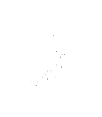 Cc1ncsc1-c1ccc([C@H](C)NC(=O)[C@@H]2C[C@@H](O)CN2C(=O)[C@H](c2cc(N3CCC(CC4CCNCC4)CC3)no2)C(C)C)cc1